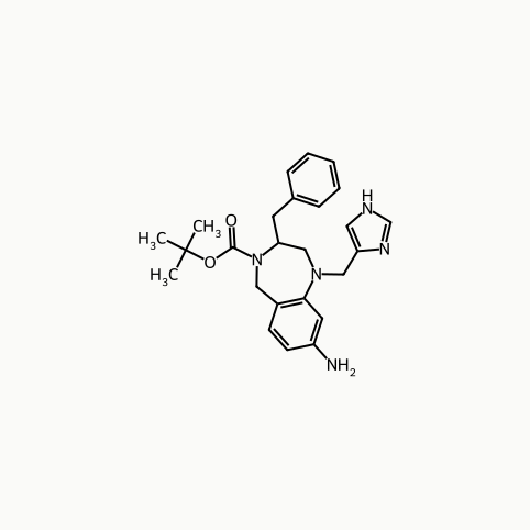 CC(C)(C)OC(=O)N1Cc2ccc(N)cc2N(Cc2c[nH]cn2)CC1Cc1ccccc1